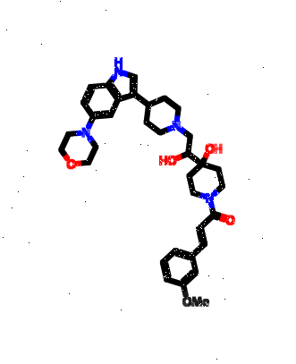 COc1cccc(C=CC(=O)N2CCC(O)(C(O)CN3CCC(c4c[nH]c5ccc(N6CCOCC6)cc45)CC3)CC2)c1